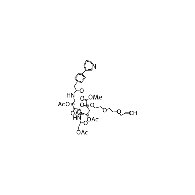 C#CCOCCOCCO[C@]1(C(=O)OC)C[C@H](OC(C)=O)[C@@H](NC(=O)COC(C)=O)[C@H]([C@H](OC(C)=O)[C@@H](CNC(=O)Cc2ccc(-c3cccnc3)cc2)OC(C)=O)O1